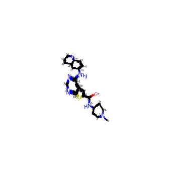 CN1CCC(NC(=O)c2cc3c(Nc4ccc5ncccc5c4)ncnc3s2)CC1